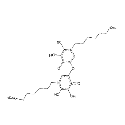 CCCCCCCCCCCCCCCCn1cc(Oc2cn(CCCCCCCCCCCCCCCC)c(C#N)c(O)c2=O)c(=O)c(O)c1C#N